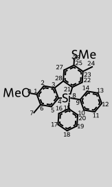 COc1cc2c(cc1C)[Si](c1ccccc1)(c1ccccc1)c1cc(C)c(SC)cc1-2